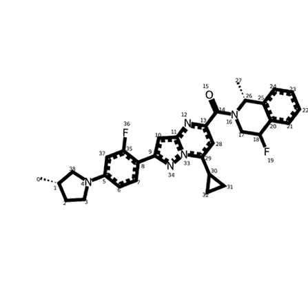 C[C@H]1CCN(c2ccc(-c3cc4nc(C(=O)N5CC(F)c6ccccc6[C@H]5C)cc(C5CC5)n4n3)c(F)c2)C1